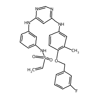 C=CS(=O)(=O)Nc1cccc(Nc2cc(Nc3ccc(OCc4cccc(F)c4)c(C)c3)ncn2)c1